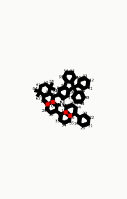 Cc1ccc2c(c1-c1cc3c(cc1N(c1ccc(-c4ccccc4)cc1)c1ccccc1-c1ccccc1)C(c1ccccc1)(c1ccccc1)c1ccccc1-3)C(C)(C)CCC2(C)C